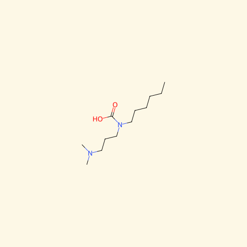 CCCCCCN(CCCN(C)C)C(=O)O